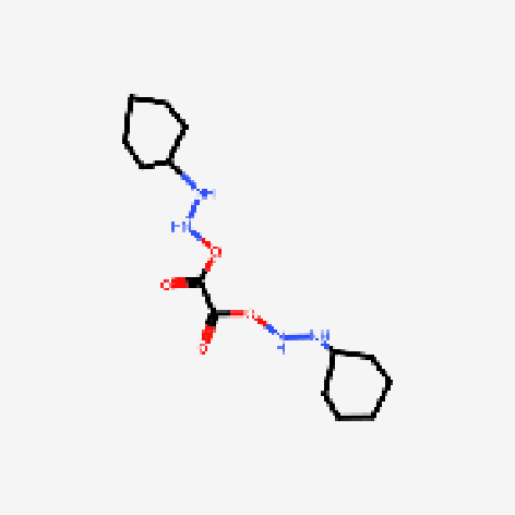 O=C(ONNC1CCCCC1)C(=O)ONNC1CCCCC1